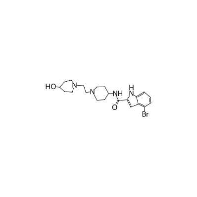 O=C(NC1CCN(CCN2CCC(O)CC2)CC1)c1cc2c(Br)cccc2[nH]1